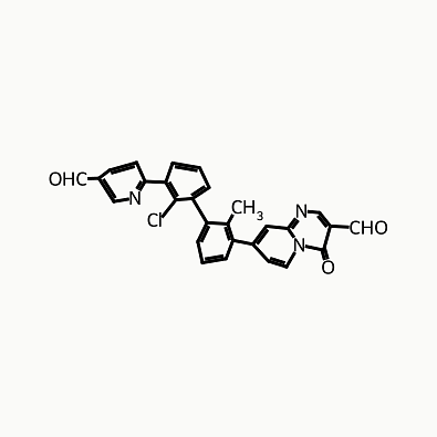 Cc1c(-c2ccn3c(=O)c(C=O)cnc3c2)cccc1-c1cccc(-c2ccc(C=O)cn2)c1Cl